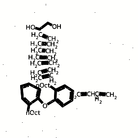 C=C.C=C.C=C.C=C.C=C.C=C.C=C.C=C.C=C.CCCCCCCCc1ccccc1Oc1ccccc1CCCCCCCC.OCCO